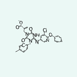 C=C(Cn1c(=O)[nH]/c(=N\c2cnc(Oc3ccccc3)c(Cl)c2)n(Cc2ccc(C)cc2)c1=O)C(=O)OC